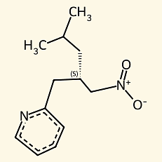 CC(C)C[C@@H](Cc1ccccn1)C[N+](=O)[O-]